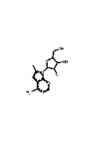 Cc1cc2c(N)ncnc2n1C1OC(CO)C(O)C1O